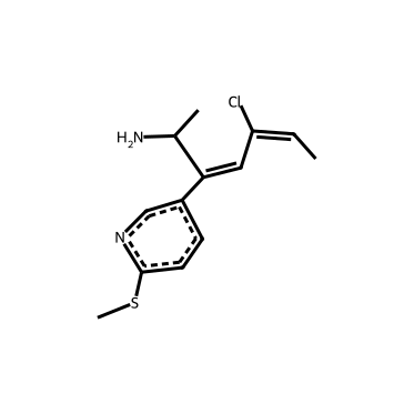 C/C=C(Cl)\C=C(\c1ccc(SC)nc1)C(C)N